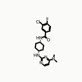 CN(C)c1ccnc(N[C@H]2CC[C@@H](NC(=O)c3ccc(F)c(Cl)c3)CC2)n1